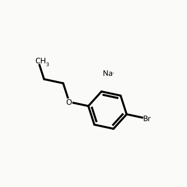 CCCOc1ccc(Br)cc1.[Na]